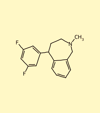 CN1CCC(c2cc(F)cc(F)c2)c2ccccc2C1